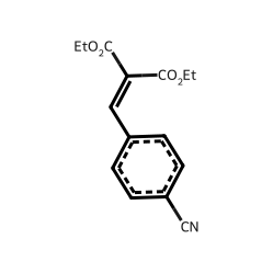 CCOC(=O)C(=Cc1ccc(C#N)cc1)C(=O)OCC